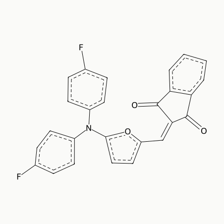 O=C1C(=Cc2ccc(N(c3ccc(F)cc3)c3ccc(F)cc3)o2)C(=O)c2ccccc21